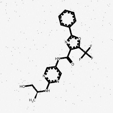 C[C@@H](CO)Nc1ncc(NC(=O)c2nc(-c3ccccc3)oc2C(F)(F)F)cn1